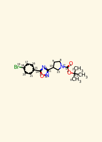 CC(C)(C)OC(=O)N1CCC(c2noc(-c3ccc(Br)cc3)n2)C1